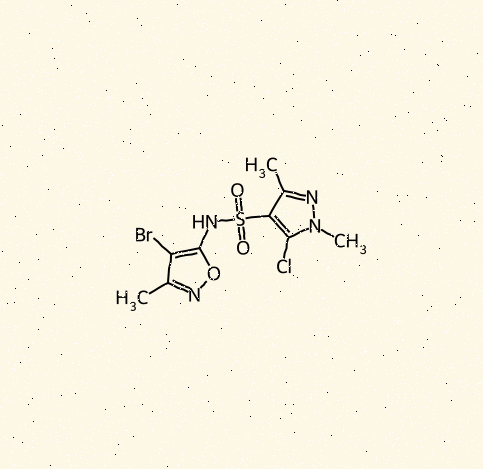 Cc1noc(NS(=O)(=O)c2c(C)nn(C)c2Cl)c1Br